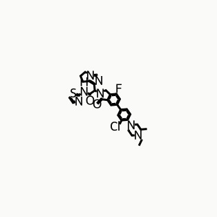 CCN1CCN(c2ccc(-c3cc(F)c4c(c3)C(=O)N(C(C(=O)Nc3nccs3)c3ncn5c3CCC5)C4)cc2Cl)CC1C